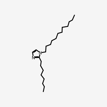 CCCCCCCCCCCCn1ccnc1CCCCCCCC